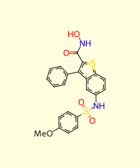 COc1ccc(S(=O)(=O)Nc2ccc3sc(C(=O)NO)c(-c4ccccc4)c3c2)cc1